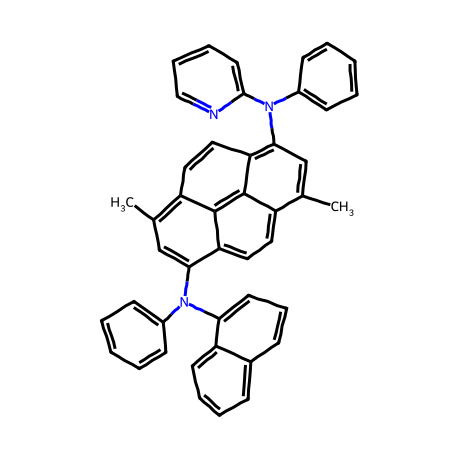 Cc1cc(N(c2ccccc2)c2ccccn2)c2ccc3c(C)cc(N(c4ccccc4)c4cccc5ccccc45)c4ccc1c2c34